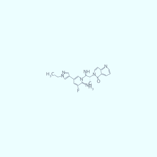 CCn1cc(-c2cc(F)c(=N)n(C(=N)[C@@H](C)n3ccc4ncccc4c3=O)c2)cn1